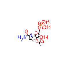 CC(=O)O[C@@H]1[C@H](O)[C@@H](COP(=O)(O)O)O[C@H]1c1nc(C(N)=O)c[se]1